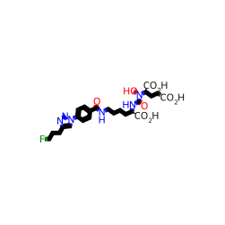 O=C(O)CC[C@@H](C(=O)O)N(O)C(=O)N[C@@H](CCCCNC(=O)c1ccc(-n2cc(CCCF)nn2)cc1)C(=O)O